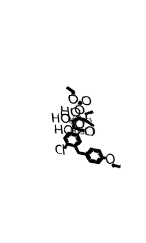 CCOC(=O)OC(C)[C@@]12CO[C@@](c3ccc(Cl)c(Cc4ccc(OCC)cc4)c3)(O1)[C@H](O)[C@@H](O)[C@@H]2O